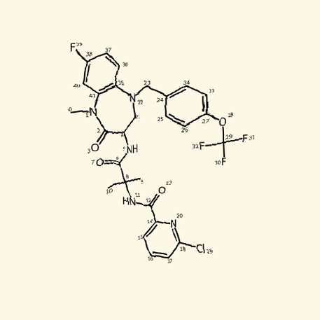 CN1C(=O)C(NC(=O)C(C)(C)NC(=O)c2cccc(Cl)n2)CN(Cc2ccc(OC(F)(F)F)cc2)c2ccc(F)cc21